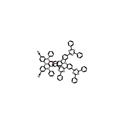 N#Cc1ccc2c(c1)N(c1ccccc1)c1cc(-c3ccc4c(c3)c3ccc(-c5nc(-c6ccccc6)nc(-c6ccccc6)n5)cc3n4-c3ccc(-c4nc(-c5ccccc5)nc(-c5ccccc5)n4)cc3-c3nc(-c4ccccc4)nc(-c4ccccc4)n3)cc3c1B2c1ccc(C#N)cc1N3c1ccccc1